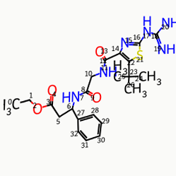 CCOC(=O)CC(NC(=O)CNC(=O)c1nc(NC(=N)N)sc1C(C)(C)C)c1ccccc1